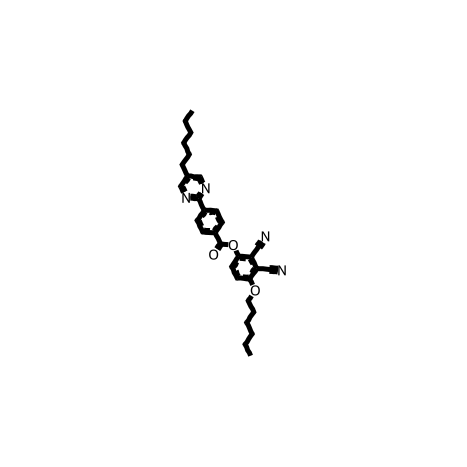 CCCCCCOc1ccc(OC(=O)c2ccc(-c3ncc(CCCCCC)cn3)cc2)c(C#N)c1C#N